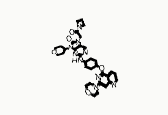 O=C(Cn1c(=O)n(C2CCOCC2)c2nc(NC3CCC(Oc4nc(N5CCOCC5)cc5ncccc45)CC3)ncc21)N1CCC1